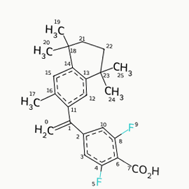 C=C(c1cc(F)c(C(=O)O)c(F)c1)c1cc2c(cc1C)C(C)(C)CCC2(C)C